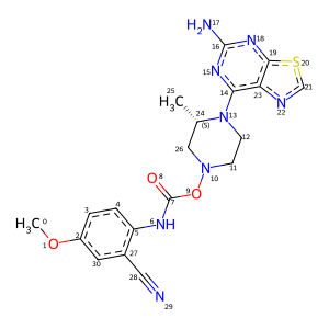 COc1ccc(NC(=O)ON2CCN(c3nc(N)nc4scnc34)[C@@H](C)C2)c(C#N)c1